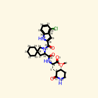 COC(=O)[C@H](C[C@@H]1CCCNC1=O)NC(=O)C1CC2(CCCCC2)CN1C(=O)c1cc2c(Cl)cccc2[nH]1